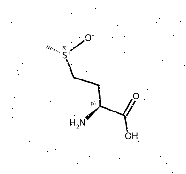 C[S@+]([O-])CC[C@H](N)C(=O)O